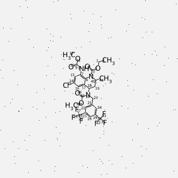 CCOC(=O)N1c2c(NC(=O)OC)cc(Cl)cc2C(N(Cc2cc(C(F)(F)F)cc(C(F)(F)F)c2)C(=O)OC)CC1C